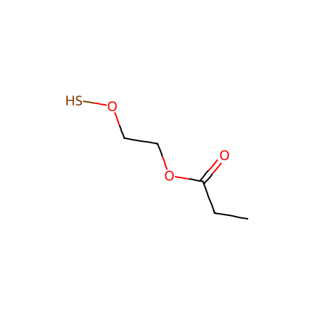 CCC(=O)OCCOS